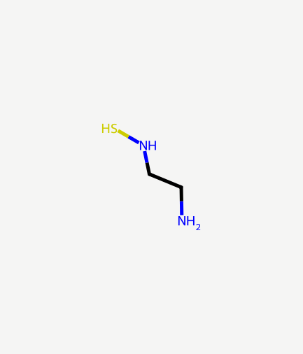 NCCNS